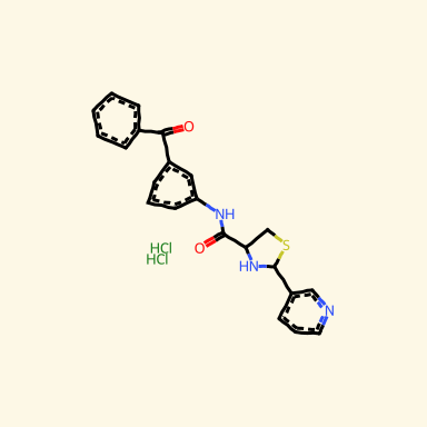 Cl.Cl.O=C(c1ccccc1)c1cccc(NC(=O)C2CSC(c3cccnc3)N2)c1